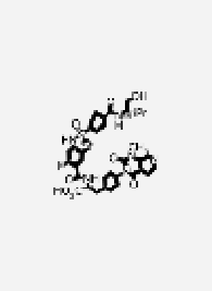 CC(C)[C@@H](CO)NC(=O)c1ccc(S(=O)(=O)Nc2cc(F)c(C(=O)N[C@@H](Cc3ccc(-n4c(=O)c5ccncc5n(C)c4=O)cc3)C(=O)O)cc2F)cc1